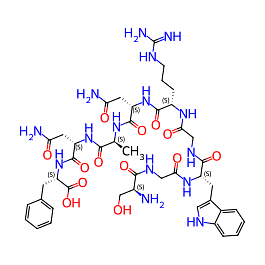 C[C@H](NC(=O)[C@H](CC(N)=O)NC(=O)[C@H](CCCNC(=N)N)NC(=O)CNC(=O)[C@H](Cc1c[nH]c2ccccc12)NC(=O)CNC(=O)[C@@H](N)CO)C(=O)N[C@@H](CC(N)=O)C(=O)N[C@@H](Cc1ccccc1)C(=O)O